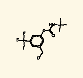 CC(C)(C)NC(=O)Oc1cc(CCl)cc(C(F)(F)F)c1